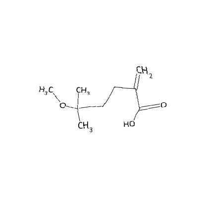 C=C(CCC(C)(C)OC)C(=O)O